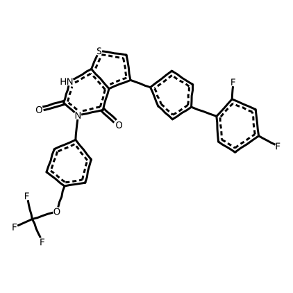 O=c1[nH]c2scc(-c3ccc(-c4ccc(F)cc4F)cc3)c2c(=O)n1-c1ccc(OC(F)(F)F)cc1